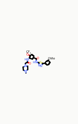 COc1cccc(-c2nnc(NC(=O)c3ccc(OC(F)(F)F)c(NC(=O)CN4CCN(C)CC4)c3)s2)c1